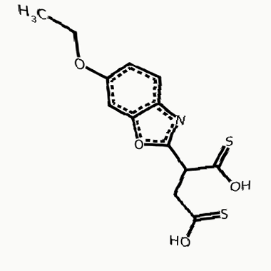 CCOc1ccc2nc(C(CC(O)=S)C(O)=S)oc2c1